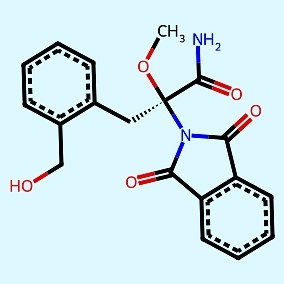 CO[C@@](Cc1ccccc1CO)(C(N)=O)N1C(=O)c2ccccc2C1=O